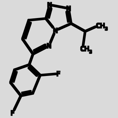 CC(C)c1nnc2ccc(-c3ccc(F)cc3F)nn12